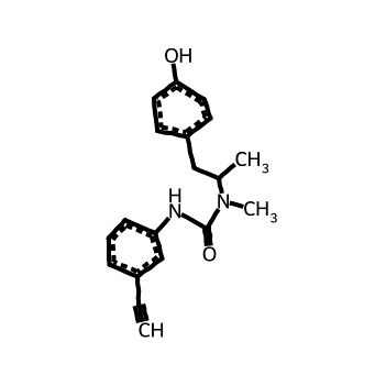 C#Cc1cccc(NC(=O)N(C)C(C)Cc2ccc(O)cc2)c1